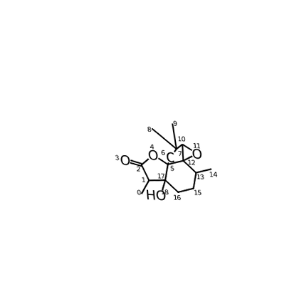 CC1C(=O)OC23CC(C)(C)C4OC42C(C)CCC13O